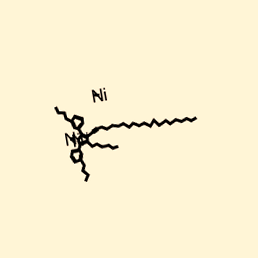 CCCCCCCCCCCCCCCCCCCC#CC1=C(c2cccc(CCCC)c2)[N+](=[N-])C(c2cccc(CCCC)c2)=C1CCCCCC.[CH3][Ni][CH3]